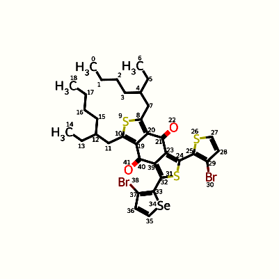 CCCCC(CC)Cc1sc(CC(CC)CCCC)c2c1C(=O)c1c(-c3sccc3Br)sc(-c3[se]ccc3Br)c1C2=O